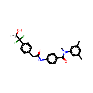 Cc1cc(C)cc(N(C)C(=O)c2ccc(NC(=O)Cc3ccc(C(F)(F)[C@H](C)O)cc3)cc2)c1